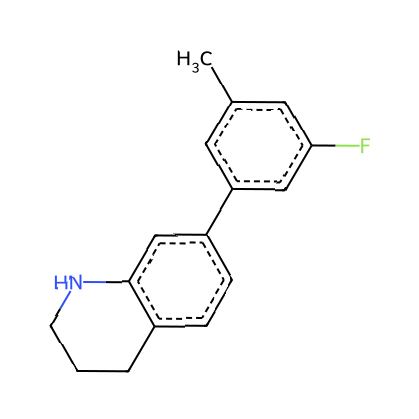 Cc1cc(F)cc(-c2ccc3c(c2)NCCC3)c1